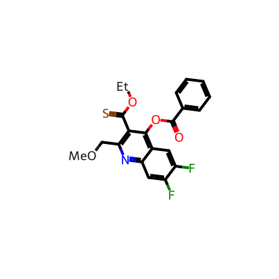 CCOC(=S)c1c(COC)nc2cc(F)c(F)cc2c1OC(=O)c1ccccc1